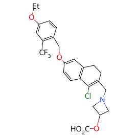 CCOc1ccc(COc2ccc3c(c2)CCC(CN2CC(OC(=O)O)C2)=C3Cl)c(C(F)(F)F)c1